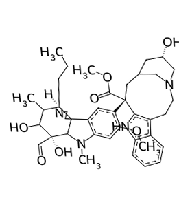 CCCN1CCC23c4cc([C@@]5(C(=O)OC)CC6C[C@H](O)CN(CCc7c5[nH]c5ccccc75)C6)c(OC)cc4N(C)C2[C@@](O)(C=O)C(O)C(C)[C@H]13